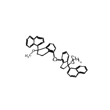 COC1(c2cccc3ccccc23)CCc2c(Oc3cccc4c3CCC4(OC)c3cccc4ccccc34)cccc21